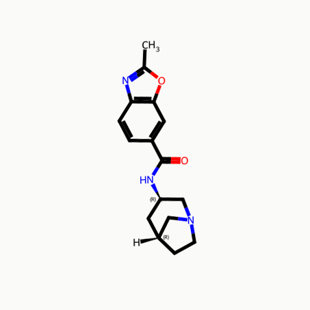 Cc1nc2ccc(C(=O)N[C@@H]3C[C@H]4CCN(C4)C3)cc2o1